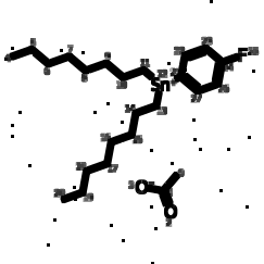 CC(=O)[O-].CCCCCCC[CH2][Sn+]([CH2]CCCCCCC)[c]1ccc(F)cc1